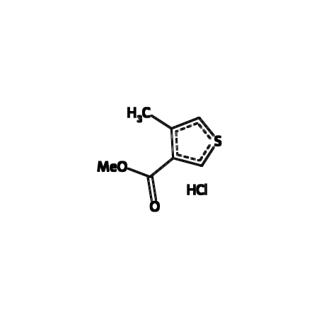 COC(=O)c1cscc1C.Cl